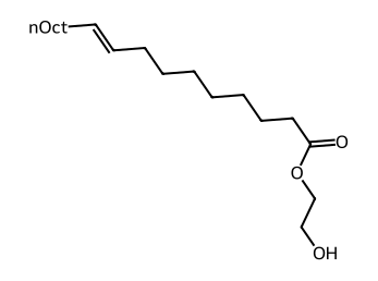 CCCCCCCCC=CCCCCCCCC(=O)OCCO